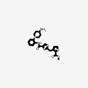 COC(=O)c1sccc1Cc1nc(C(=O)Nc2ccccc2N2CCC(N)CC2)cs1